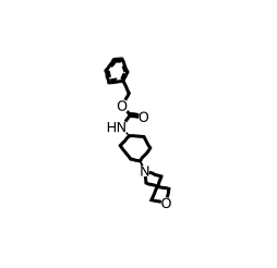 O=C(N[C@H]1CC[C@H](N2CC3(COC3)C2)CC1)OCc1ccccc1